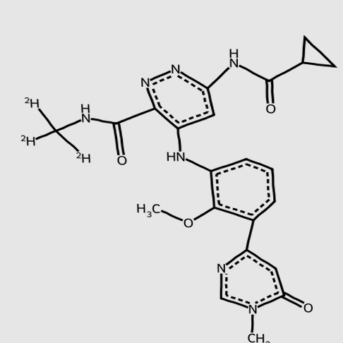 [2H]C([2H])([2H])NC(=O)c1nnc(NC(=O)C2CC2)cc1Nc1cccc(-c2cc(=O)n(C)cn2)c1OC